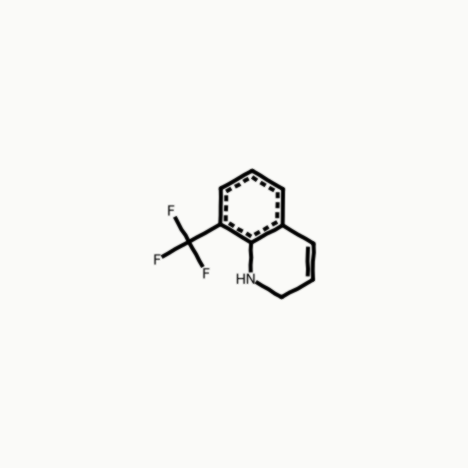 FC(F)(F)c1cccc2c1NCC=C2